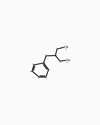 N#CCC(CO)Cc1ccccc1